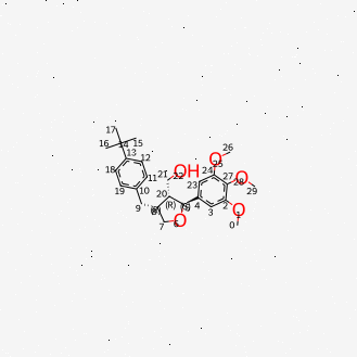 COc1cc([C@H]2OC[C@H](Cc3ccc(C(C)(C)C)cc3)[C@@H]2CO)cc(OC)c1OC